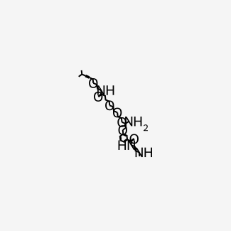 CNCCNC(=O)c1cccc(OCC(N)OCCOCCOCCCC(=O)NCCOCC#CC(C)C)c1